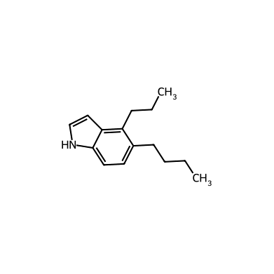 CCCCc1ccc2[nH]ccc2c1CCC